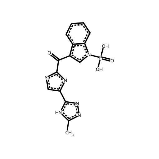 Cc1nnc(-c2csc(C(=O)c3cn(P(=O)(O)O)c4ccccc34)n2)[nH]1